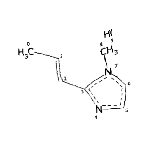 CC=Cc1nccn1C.I